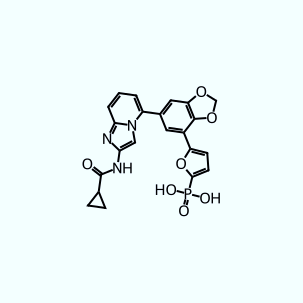 O=C(Nc1cn2c(-c3cc4c(c(-c5ccc(P(=O)(O)O)o5)c3)OCO4)cccc2n1)C1CC1